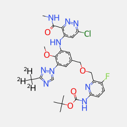 [2H]C([2H])([2H])c1ncn(-c2cc(COCc3nc(NC(=O)OC(C)(C)C)ccc3F)cc(Nc3cc(Cl)nnc3C(=O)NC)c2OC)n1